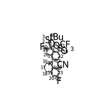 CC(C)(C)[Si](C)(C)O[C@H]1c2c(S(=O)(=O)C(F)(F)F)ccc([C@H]3CCCc4cc(F)cc(C#N)c43)c2C[C@H]1F